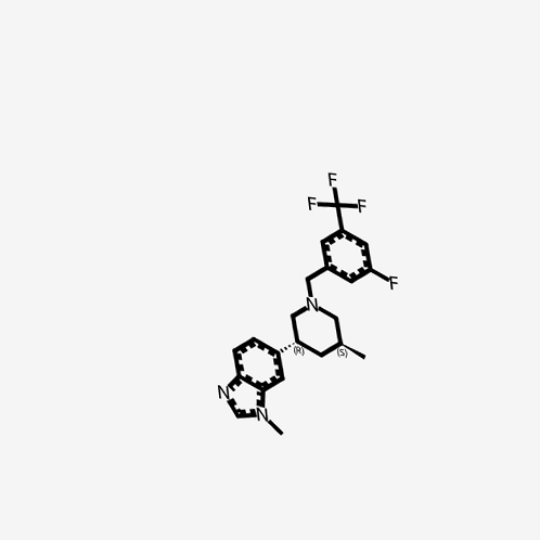 C[C@H]1C[C@H](c2ccc3ncn(C)c3c2)CN(Cc2cc(F)cc(C(F)(F)F)c2)C1